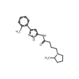 Cc1ccccc1-c1cc(NC(=O)CCCN2CCCC2C)[nH]n1